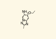 CCOc1cc2nc(C)nn2cc1N